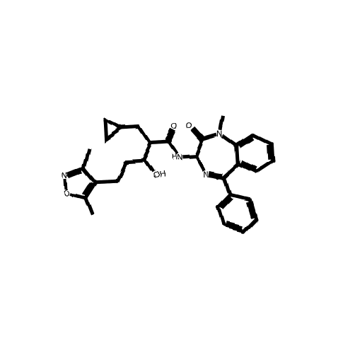 Cc1noc(C)c1CCC(O)C(CC1CC1)C(=O)NC1N=C(c2ccccc2)c2ccccc2N(C)C1=O